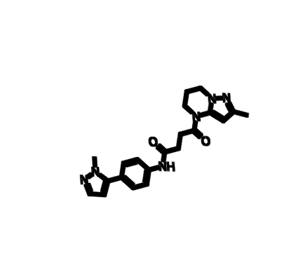 Cc1cc2n(n1)CCCN2C(=O)CCC(=O)Nc1ccc(-c2ccnn2C)cc1